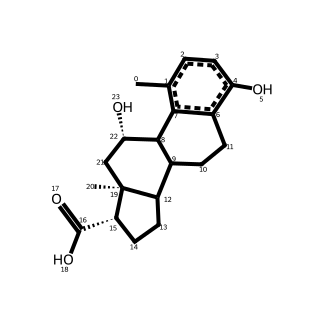 Cc1ccc(O)c2c1C1C(CC2)C2CC[C@H](C(=O)O)[C@@]2(C)C[C@@H]1O